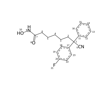 N#CC(CCCCCC(=O)NO)(c1ccccc1)c1ccc(F)cc1